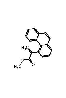 C=C(C(=O)OC)c1cccc2ccc3ccccc3c12